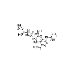 N=C(N)N[C@@H]1CC=C(CN)O[C@@H]1OC1[C@H](O)C[C@H](NC(=O)N(O)CCN)C[C@@H]1N